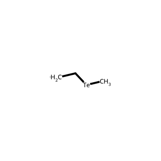 [CH2]C[Te]C